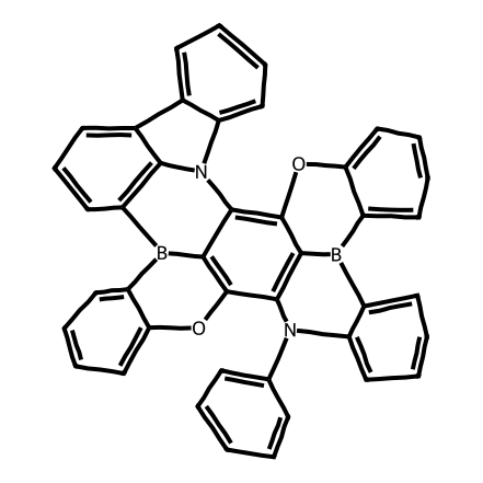 c1ccc(N2c3ccccc3B3c4ccccc4Oc4c3c2c2c3c4-n4c5ccccc5c5cccc(c54)B3c3ccccc3O2)cc1